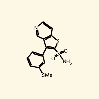 CSc1cccc(-c2c(S(N)(=O)=O)sc3ccncc23)c1